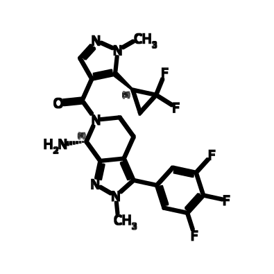 Cn1nc2c(c1-c1cc(F)c(F)c(F)c1)CCN(C(=O)c1cnn(C)c1[C@@H]1CC1(F)F)[C@H]2N